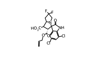 C=CCOC(=O)[C@@H]1C(C(=O)O)C2CC(F)(F)CN2C12C(=O)Nc1c(Cl)cc(Cl)cc12